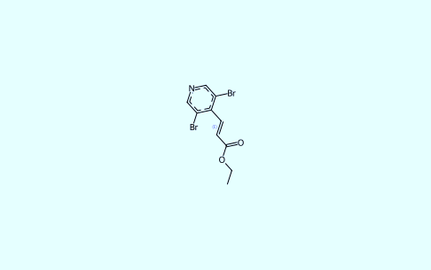 CCOC(=O)/C=C/c1c(Br)cncc1Br